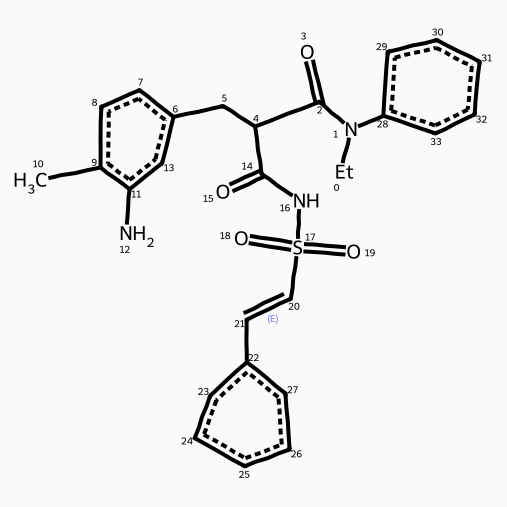 CCN(C(=O)C(Cc1ccc(C)c(N)c1)C(=O)NS(=O)(=O)/C=C/c1ccccc1)c1ccccc1